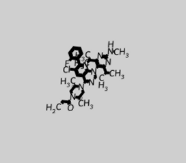 C=CC(=O)N1C[C@H](C)N(C2=NCN(c3c(C(C)C)nc(NC)nc3C(C)C)c3nc(-c4ccccc4F)c(Cl)cc32)C[C@H]1C